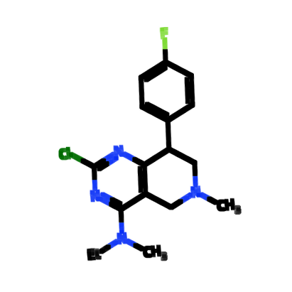 CCN(C)c1nc(Cl)nc2c1CN(C)CC2c1ccc(F)cc1